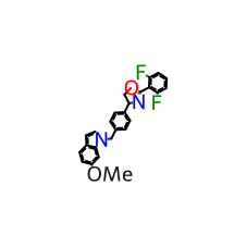 COc1ccc2ccn(Cc3ccc(C4COC(c5c(F)cccc5F)=N4)cc3)c2c1